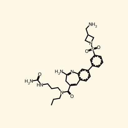 CCCN(CCCNC(N)=O)C(=O)C1=Cc2ccc(-c3cccc(S(=O)(=O)N4CC(CN)C4)c3)cc2N=C(N)C1